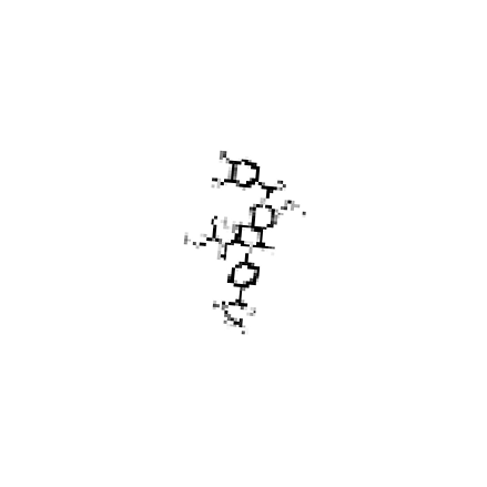 CNC(=O)c1ccc(-n2c(NC(C)C)nc3c(c2=O)C[C@@H](C)N(C(=O)c2ccc(F)c(Cl)c2)C3)cc1